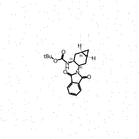 CC(C)(C)OC(=O)N[C@H]1C[C@H]2C[C@H]2C[C@H]1N1C(=O)c2ccccc2C1=O